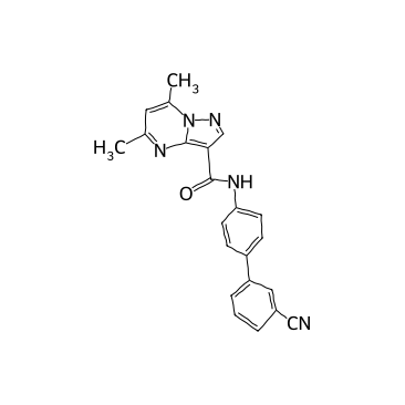 Cc1cc(C)n2ncc(C(=O)Nc3ccc(-c4cccc(C#N)c4)cc3)c2n1